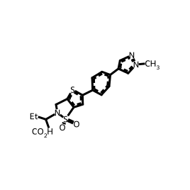 CCC(C(=O)O)N1Cc2sc(-c3ccc(-c4cnn(C)c4)cc3)cc2S1(=O)=O